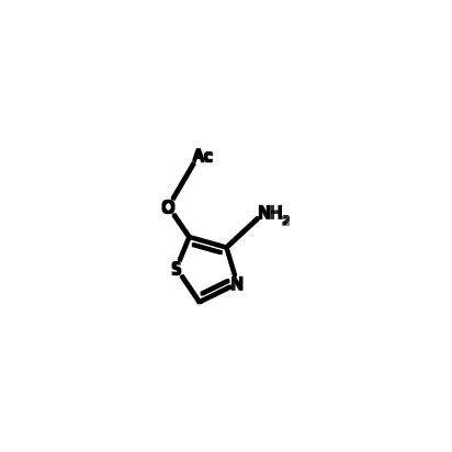 CC(=O)Oc1scnc1N